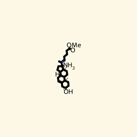 COC(=O)CCC/C=C(\C)[C@@]1(N)CCC2[C@@H]3CC=C4C[C@@H](O)CC[C@]4(C)C3CC[C@@]21C